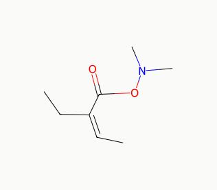 C/C=C(/CC)C(=O)ON(C)C